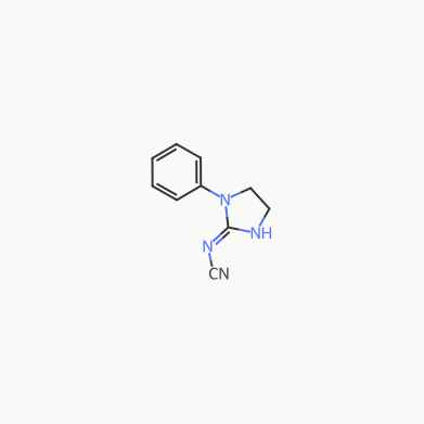 N#CN=C1NCCN1c1ccccc1